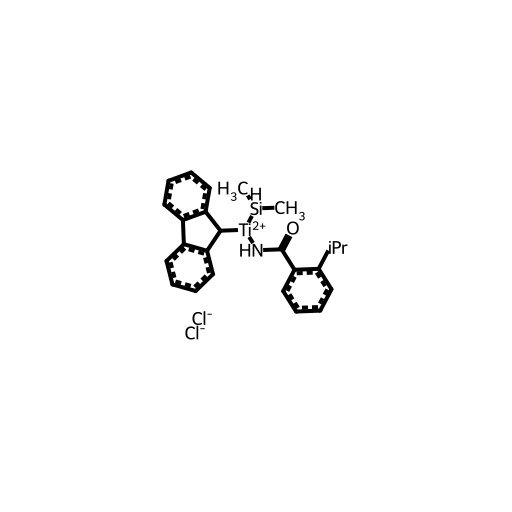 CC(C)c1ccccc1C(=O)[NH][Ti+2]([CH]1c2ccccc2-c2ccccc21)[SiH](C)C.[Cl-].[Cl-]